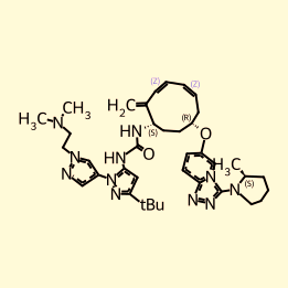 C=C1/C=C\C=C/C[C@H](Oc2ccc3nnc(N4CCCC[C@@H]4C)n3c2)CC[C@@H]1NC(=O)Nc1cc(C(C)(C)C)nn1-c1cnn(CCN(C)C)c1